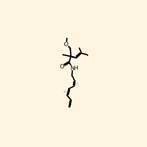 C=C/C=C\C=C/CNC(=O)C(C)(C=C(C)C)COC